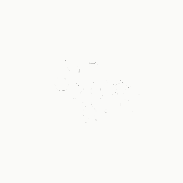 Cc1cc(I)cc(C(=O)NCC#N)c1NC(=O)c1cc(Cn2nnc(C(F)(F)F)n2)nn1-c1ncccc1Br